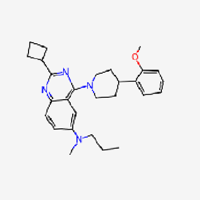 CCCN(C)c1ccc2nc(C3CCC3)nc(N3CCC(c4ccccc4OC)CC3)c2c1